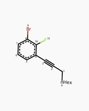 CCCCCCCC#Cc1cccc(Br)c1F